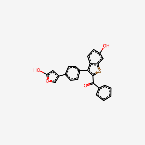 O=C(c1ccccc1)c1sc2cc(O)ccc2c1-c1ccc(-c2coc(O)c2)cc1